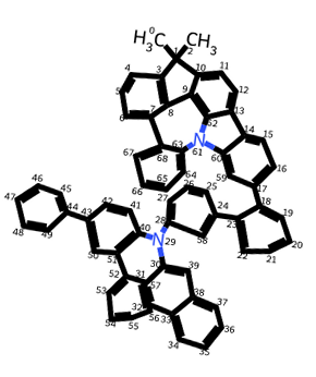 CC1(C)c2cccc3c2-c2c1ccc1c4ccc(-c5ccccc5-c5cccc(N(c6ccc7ccccc7c6)c6ccc(-c7ccccc7)cc6-c6ccccc6)c5)cc4n(c21)-c1ccccc1-3